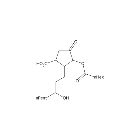 CCCCCCC(=O)OC1C(=O)CC(C(=O)O)C1CCC(O)CCCCC